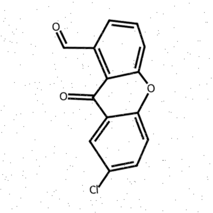 O=Cc1cccc2oc3ccc(Cl)cc3c(=O)c12